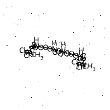 CN1Cc2c(Cl)cc(Cl)cc2C(c2cccc(S(=O)(=O)NCCOCCOCCOCCNC(=O)COCC(=O)NCCOCCOCCOCCNS(=O)(=O)c3cccc(C4CN(C)Cc5c(Cl)cc(Cl)cc54)c3)c2)C1